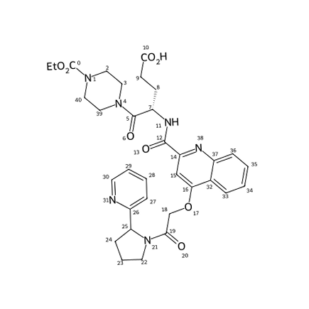 CCOC(=O)N1CCN(C(=O)[C@H](CCC(=O)O)NC(=O)c2cc(OCC(=O)N3CCCC3c3ccccn3)c3ccccc3n2)CC1